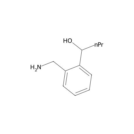 CCCC(O)c1ccccc1CN